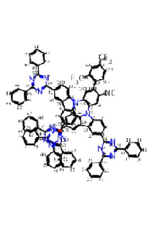 [C-]#[N+]c1cc(-n2c3ccc(-c4nc(-c5ccccc5)nc(-c5ccccc5)n4)cc3c3cc(-c4nc(-c5ccccc5)nc(-c5ccccc5)n4)ccc32)c(-n2c3ccc(-c4nc(-c5ccccc5)nc(-c5ccccc5)n4)cc3c3cc(-c4nc(-c5ccccc5)nc(-c5ccccc5)n4)ccc32)cc1-c1ccc(C(F)(F)F)cc1C(F)(F)F